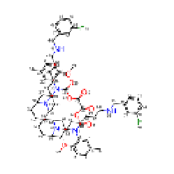 COc1ccc(C)cc1N(C(=O)OC(=O)C(=O)OC(=O)N(c1cc(C)ccc1OC)C1CC2CCCC(C1)N2CCCCCCNCc1cccc(F)c1)C1CC2CCCC(C1)N2CCCCCCNCc1cccc(F)c1